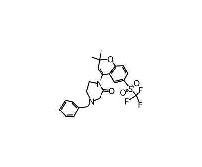 CC1(C)C=C(N2CCN(Cc3ccccc3)CC2=O)c2cc(S(=O)(=O)C(F)(F)F)ccc2O1